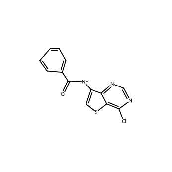 O=C(Nc1csc2c(Cl)ncnc12)c1ccccc1